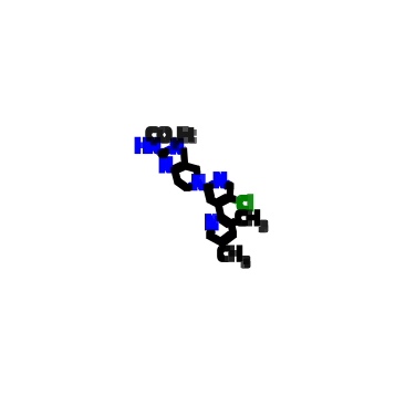 CCOC(=O)Nc1ncc2c(n1)CCN(c1cc(-c3ncc(C)cc3C)c(Cl)cn1)C2